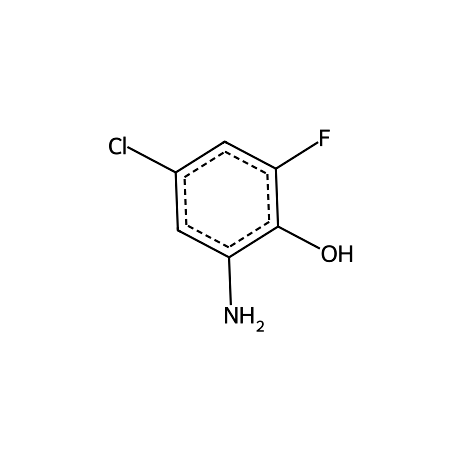 Nc1cc(Cl)cc(F)c1O